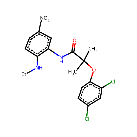 CCNc1ccc([N+](=O)[O-])cc1NC(=O)C(C)(C)Oc1ccc(Cl)cc1Cl